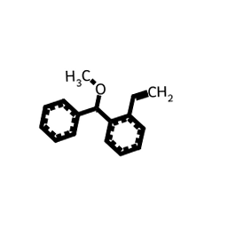 C=Cc1ccccc1[C](OC)c1ccccc1